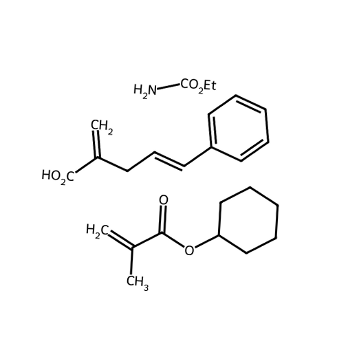 C=C(C)C(=O)OC1CCCCC1.C=C(CC=Cc1ccccc1)C(=O)O.CCOC(N)=O